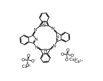 O=P([O-])([O-])[O-].O=P([O-])([O-])[O-].[Ca+2].[Ca+2].[Ca+2].c1ccc2c(c1)-c1nc-2nc2[nH]c(nc3nc(nc4[nH]c(n1)c1ccccc41)-c1ccccc1-3)c1ccccc21